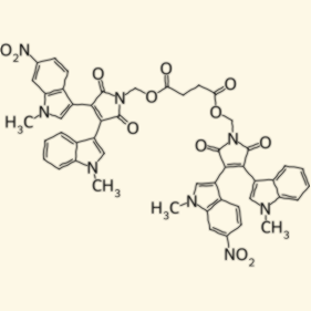 Cn1cc(C2=C(c3cn(C)c4cc([N+](=O)[O-])ccc34)C(=O)N(COC(=O)CCC(=O)OCN3C(=O)C(c4cn(C)c5ccccc45)=C(c4cn(C)c5cc([N+](=O)[O-])ccc45)C3=O)C2=O)c2ccccc21